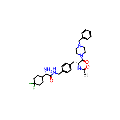 CCC(=O)N[C@H](Cc1ccc(CNC(=O)[C@@H](N)C2CCC(F)(F)CC2)cc1)C(=O)N1CCN(Cc2ccccc2)CC1